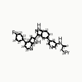 C=C(CC(C)C)Nc1cncc(-c2ccc3[nH]nc(-c4cc5c(-c6ccc(F)cc6)ccnc5[nH]4)c3c2)c1